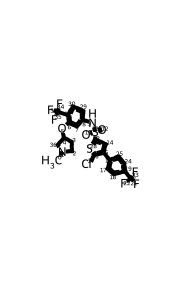 CN1CCC(Oc2cc(NS(=O)(=O)c3cc(-c4ccc(C(F)(F)F)cc4)c(Cl)s3)ccc2C(F)(F)F)C1